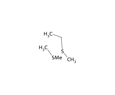 CCSC.CSC